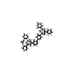 N#Cc1ccccc1-c1cc(-c2ccccc2)nc(-c2cccc(-c3ccc(-c4nc(-c5ccccc5)nc(-c5ccccc5)n4)cc3)c2)n1